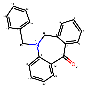 O=C1c2ccccc2CN(Cc2ccccc2)c2ccccc21